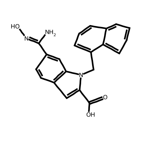 N/C(=N\O)c1ccc2cc(C(=O)O)n(Cc3cccc4ccccc34)c2c1